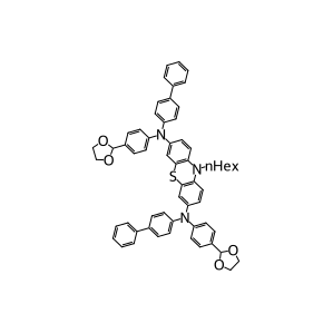 CCCCCCN1c2ccc(N(c3ccc(-c4ccccc4)cc3)c3ccc(C4OCCO4)cc3)cc2Sc2cc(N(c3ccc(-c4ccccc4)cc3)c3ccc(C4OCCO4)cc3)ccc21